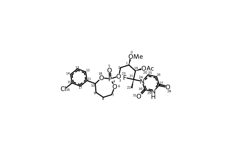 CO[C@H](COP1(=O)OCCCC(c2cccc(Cl)c2)O1)[C@@H](OC(C)=O)[C@@](C)(F)n1ccc(=O)[nH]c1=O